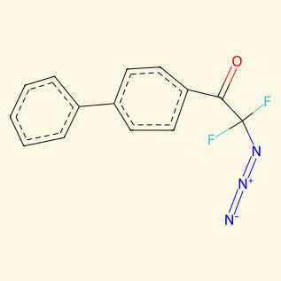 [N-]=[N+]=NC(F)(F)C(=O)c1ccc(-c2ccccc2)cc1